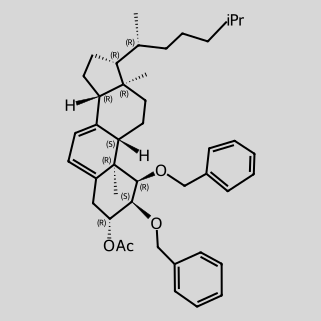 CC(=O)O[C@@H]1CC2=CC=C3[C@@H]4CC[C@H]([C@H](C)CCCC(C)C)[C@@]4(C)CC[C@@H]3[C@@]2(C)[C@@H](OCc2ccccc2)[C@H]1OCc1ccccc1